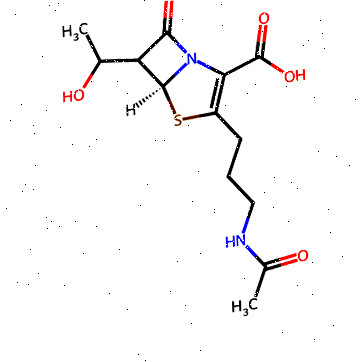 CC(=O)NCCCC1=C(C(=O)O)N2C(=O)C(C(C)O)[C@@H]2S1